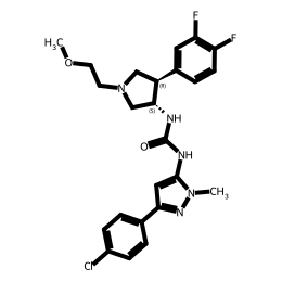 COCCN1C[C@@H](NC(=O)Nc2cc(-c3ccc(Cl)cc3)nn2C)[C@H](c2ccc(F)c(F)c2)C1